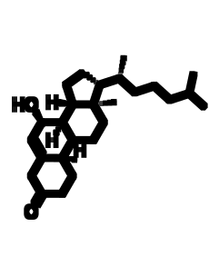 CC(C)CCC[C@@H](C)[C@H]1CC[C@H]2[C@@H]3[C@H](O)C=C4CC(=O)CC[C@]4(C)[C@H]3CC[C@]12C